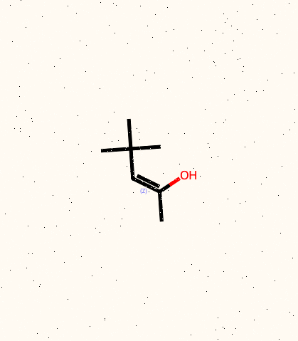 C/C(O)=C/C(C)(C)C